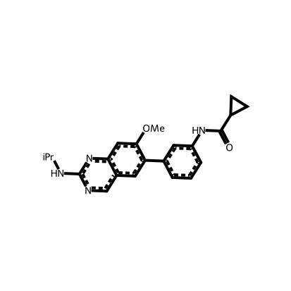 COc1cc2nc(NC(C)C)ncc2cc1-c1cccc(NC(=O)C2CC2)c1